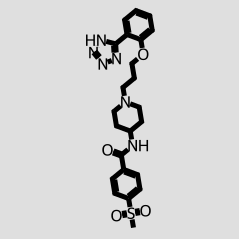 CS(=O)(=O)c1ccc(C(=O)NC2CCN(CCCOc3ccccc3-c3nnn[nH]3)CC2)cc1